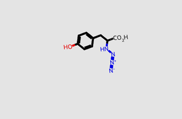 [N-]=[N+]=NNC(Cc1ccc(O)cc1)C(=O)O